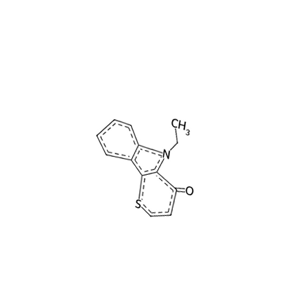 CCn1c2ccccc2c2sccc(=O)c21